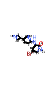 CN1CC(c2ccc(Nc3cc(Br)cn(C)c3=O)nc2)C1